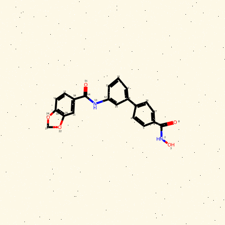 O=C(NO)c1ccc(-c2cccc(NC(=O)c3ccc4c(c3)OCO4)c2)cc1